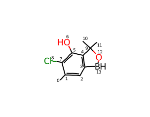 Cc1cc2c(c(O)c1Cl)C(C)(C)OB2